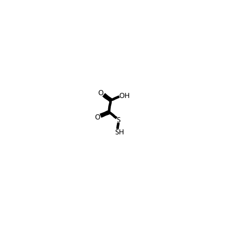 O=C(O)C(=O)SS